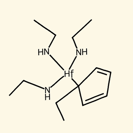 CC[NH][Hf]([NH]CC)([NH]CC)[C]1(CC)C=CC=C1